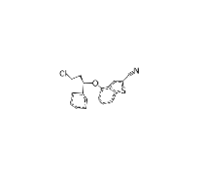 N#Cc1cc2c(O[C@H](CCCl)c3ccccc3)cccc2s1